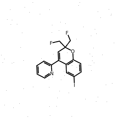 FCC1(CF)C=C(c2ccccn2)c2cc(I)ccc2O1